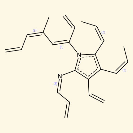 C=C/C=N\c1c(C=C)c(/C=C\C)c(/C=C\C)n1/C(C=C)=C/C(C)=C\C=C